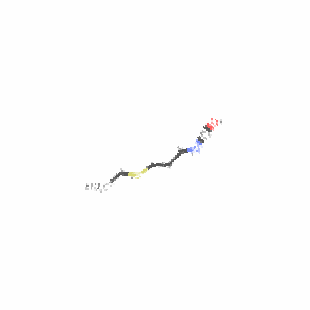 CCOC(=O)CSCCCN=C=O